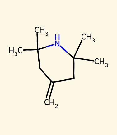 C=C1CC(C)(C)NC(C)(C)C1